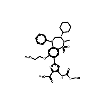 COCCOc1cc2c(cc1-c1cc(NC(=O)OC(C)(C)C)c(C(=O)OC)s1)S(=O)(=O)N(C)[C@H](C1CCCCC1)CN2c1ccccc1